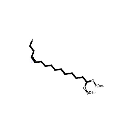 CCCCCCCCCCOC(CCCCCCCCC/C=C\CCI)OCCCCCCCCCC